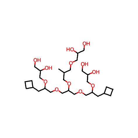 CC(COCC(O)CO)COC(COCC(CC1CCC1)OCC(O)CO)COCC(CC1CCC1)OCC(O)CO